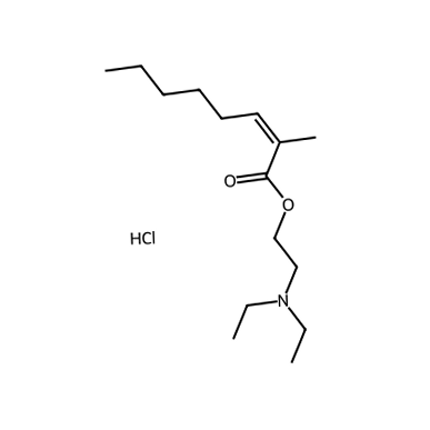 CCCCCC=C(C)C(=O)OCCN(CC)CC.Cl